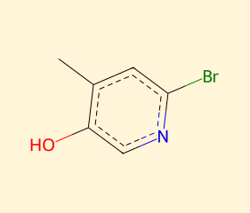 Cc1cc(Br)ncc1O